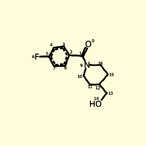 O=C(c1ccc(F)cc1)N1CCC(CO)CC1